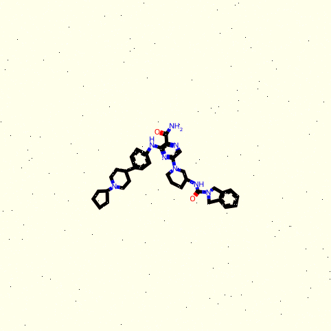 NC(=O)c1ncc(N2CCCC(NC(=O)N3Cc4ccccc4C3)C2)nc1Nc1ccc(C2CCN(C3CCCC3)CC2)cc1